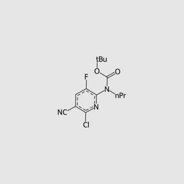 CCCN(C(=O)OC(C)(C)C)c1nc(Cl)c(C#N)cc1F